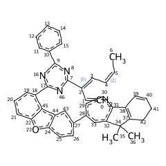 C=C/C(=C\C=C/C)c1nc(-c2ccccc2)nc(-c2cccc3oc4ccc(-c5ccc6c(c5)C(C)(C)C5=C6C=CCC5)cc4c23)n1